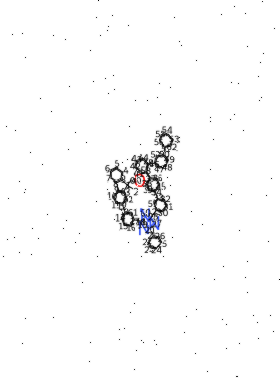 CC1(C)c2ccccc2-c2ccc(-c3cccc(-c4nc(-c5ccccc5)nc(-c5cccc(-c6ccc7c(c6)oc6cccc(-c8cccc(-c9ccccc9)c8)c67)c5)n4)c3)cc21